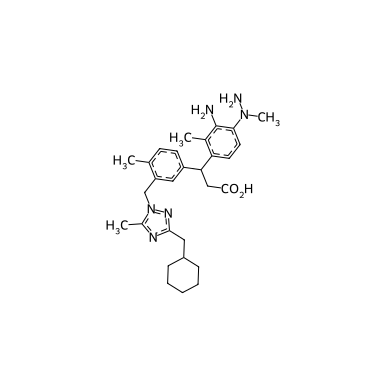 Cc1ccc(C(CC(=O)O)c2ccc(N(C)N)c(N)c2C)cc1Cn1nc(CC2CCCCC2)nc1C